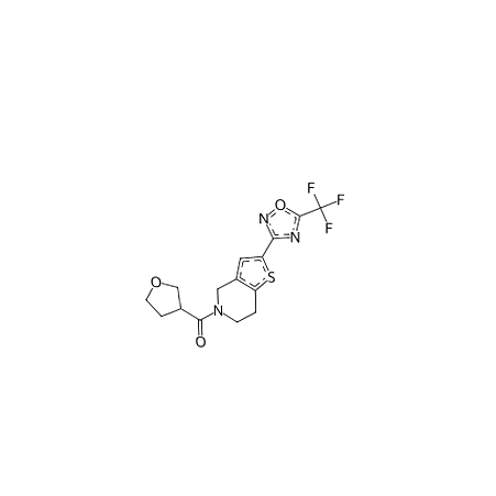 O=C(C1CCOC1)N1CCc2sc(-c3noc(C(F)(F)F)n3)cc2C1